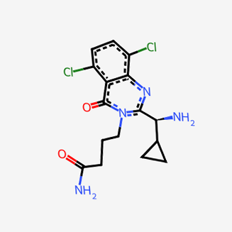 NC(=O)CCCn1c([C@@H](N)C2CC2)nc2c(Cl)ccc(Cl)c2c1=O